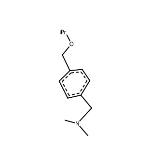 CC(C)OCc1ccc(CN(C)C)cc1